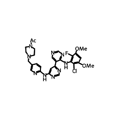 COc1cc(OC)c(Cl)c(Nc2ncncc2-c2cc(Nc3ccc(CN4CCN(C(C)=O)CC4)cn3)ncn2)c1F